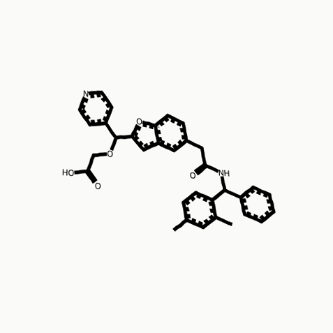 Cc1ccc(C(NC(=O)Cc2ccc3oc(C(OCC(=O)O)c4ccncc4)cc3c2)c2ccccc2)c(C)c1